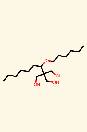 CCCCCCOC(CCCCCC)C(CO)(CO)CO